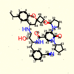 CCc1ccc2c(c1)[C@@H](NC[C@@H](O)[C@H](Cc1cccc(C#N)c1)NC(=O)c1cc(N3CCCC3=O)c(=O)n(C3CCCC3)c1)CC1(CCC1)O2